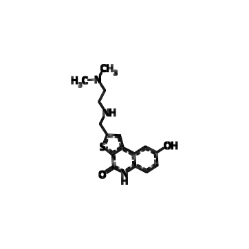 CN(C)CCNCc1cc2c(s1)c(=O)[nH]c1ccc(O)cc12